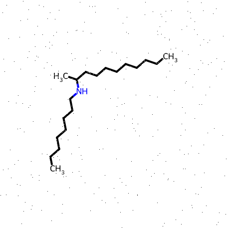 CCCCCCCCCC(C)NCCCCCCCC